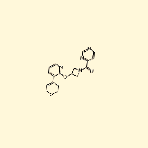 O=C(c1ccncn1)N1CC(Oc2ncccc2C2=CCOCC2)C1